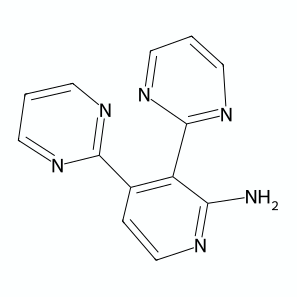 Nc1nccc(-c2ncccn2)c1-c1ncccn1